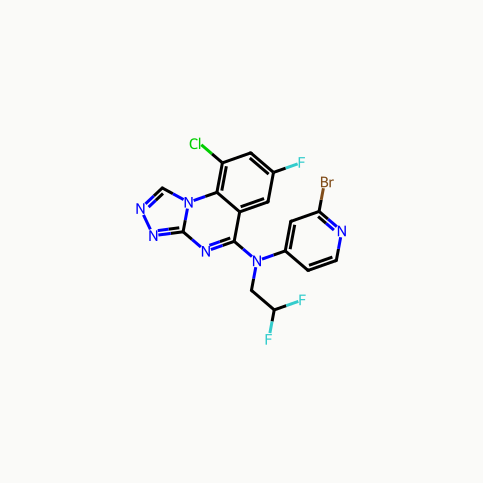 Fc1cc(Cl)c2c(c1)c(N(CC(F)F)c1ccnc(Br)c1)nc1nncn12